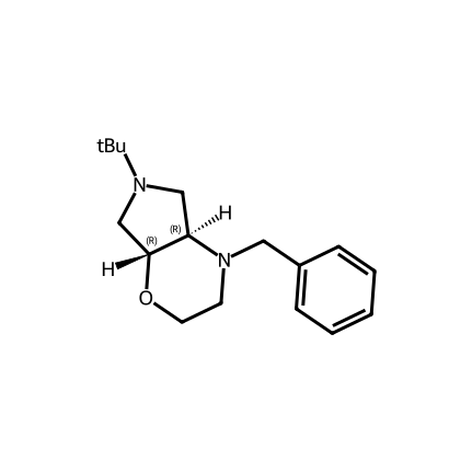 CC(C)(C)N1C[C@@H]2[C@@H](C1)OCCN2Cc1ccccc1